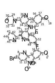 COc1ccc(-c2ncc(Br)cc2[N+](=O)[O-])cc1.COc1ccc(-c2ncc(N3CCOCC3)cc2Nc2c(C)c(-c3ccccn3)nc3cc(F)cc(F)c23)cc1